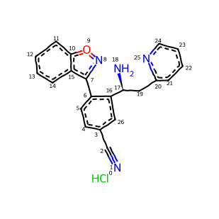 Cl.N#Cc1ccc(-c2noc3ccccc23)c([C@@H](N)Cc2ccccn2)c1